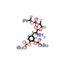 CC(C)COC(=O)Oc1ccc(C[C@H](N)C(=O)O[C@@H](C)C(C)OC(=O)OC(C)C(C)C)cc1OC(=O)OCC(C)C